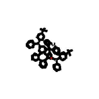 CC(C)(C)c1ccc(N(c2ccccc2)c2cc3c4c(c2)C2(c5ccccc5Oc5ccccc52)c2cc(N(c5ccccc5)c5ccc(C(C)(C)C)cc5)cc(c2-4)-c2ccccc2-c2ccccc2-3)cc1